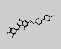 CC[C@H]1CC[C@H]([C@H]2CC[C@H](COc3cc(F)c(C(=O)Oc4cc(F)c(F)c(F)c4)c(F)c3)CC2)CC1